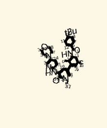 Cc1c(NC(=O)c2ccc(C(C)(C)C)cc2)cc(F)cc1-c1cc(Nc2ccc(N3CCOCC3)cn2)c(=O)n(C)c1